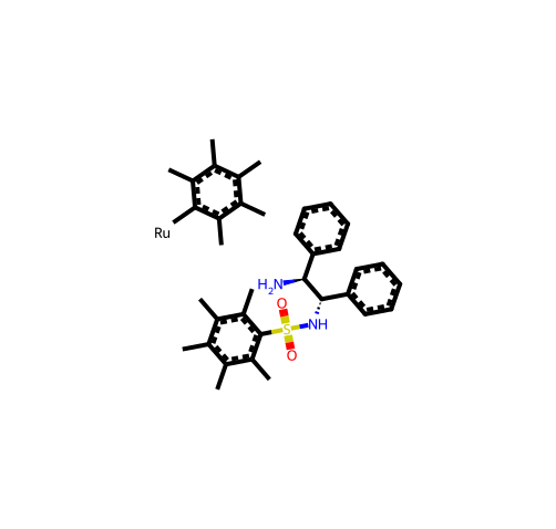 Cc1c(C)c(C)c(C)c(C)c1C.Cc1c(C)c(C)c(S(=O)(=O)N[C@@H](c2ccccc2)[C@@H](N)c2ccccc2)c(C)c1C.[Ru]